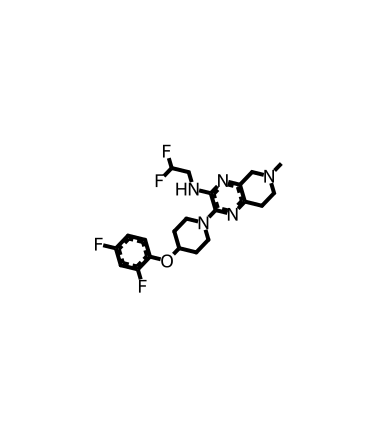 CN1CCc2nc(N3CCC(Oc4ccc(F)cc4F)CC3)c(NCC(F)F)nc2C1